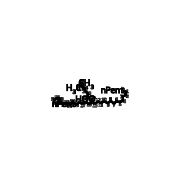 CCCCC/C=C\C/C=C\CCCCCCCCC(CCCCCCCC/C=C\C/C=C\CCCCC)O[C@@H](O)CCCN(C)C